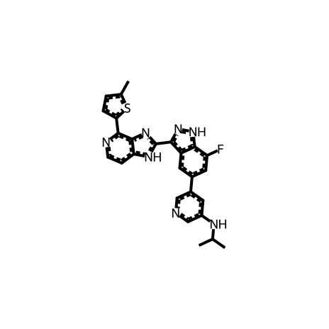 Cc1ccc(-c2nccc3[nH]c(-c4n[nH]c5c(F)cc(-c6cncc(NC(C)C)c6)cc45)nc23)s1